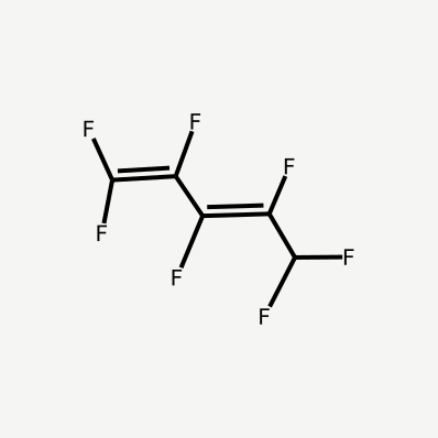 FC(F)=C(F)/C(F)=C(\F)C(F)F